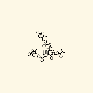 Cc1oc(=O)oc1COC(=O)SC[C@H](NC(=O)C(C)(C)SC(=O)OCc1oc(=O)oc1C)C(=O)OCOC(=O)C(C)C